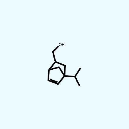 CC(C)C12C=CC(C1)C(CO)C2